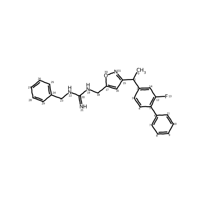 CC(c1ccc(-c2ccccc2)c(F)c1)c1cc(CNC(=N)NCc2ccccc2)on1